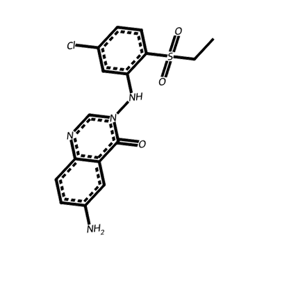 CCS(=O)(=O)c1ccc(Cl)cc1Nn1cnc2ccc(N)cc2c1=O